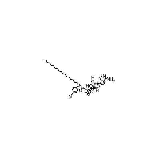 CCCCCCCCCCCCCCCCCCOC[C@H](COP(=O)(O)OC1[C@H]2O[C@@](C)(c3ccc4c(N)ncnn34)[C@H](O)[C@@]12O)Oc1cccc(C#N)c1